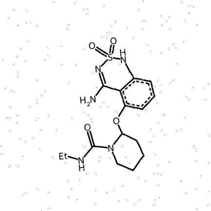 CCNC(=O)N1CCCCC1Oc1cccc2c1C(N)=NS(=O)(=O)N2